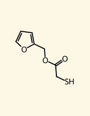 O=C(CS)OCc1ccco1